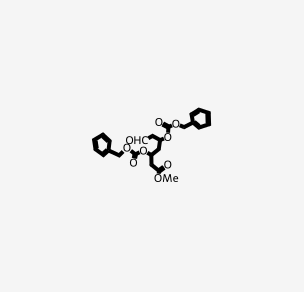 COC(=O)CC(CC(CC=O)OC(=O)OCc1ccccc1)OC(=O)OCc1ccccc1